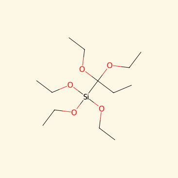 CCOC(CC)(OCC)[Si](OCC)(OCC)OCC